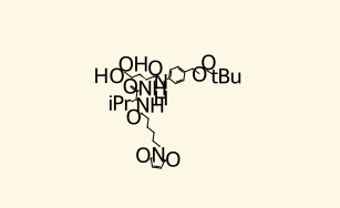 CC(C)[C@H](NC(=O)CCCCCN1C(=O)C=CC1=O)C(=O)N[C@@H](CCC(O)O)C(=O)Nc1ccc(COC(=O)C(C)(C)C)cc1